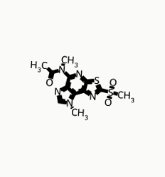 CC(=O)N(C)c1nc2sc(S(C)(=O)=O)nc2c2c1ncn2C